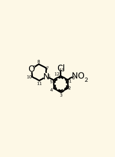 O=[N+]([O-])c1cccc(N2CCOCC2)c1Cl